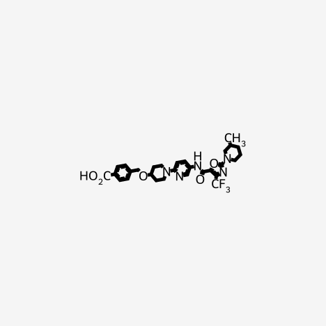 CC1CCCN(c2nc(C(F)(F)F)c(C(=O)Nc3ccc(N4CCC(OCc5ccc(C(=O)O)cc5)CC4)nc3)o2)C1